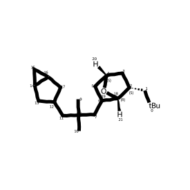 CC(C)(C)C[C@H]1C[C@H]2CC(CC(C)(C)CC3CC4CC4C3)[C@@H]1O2